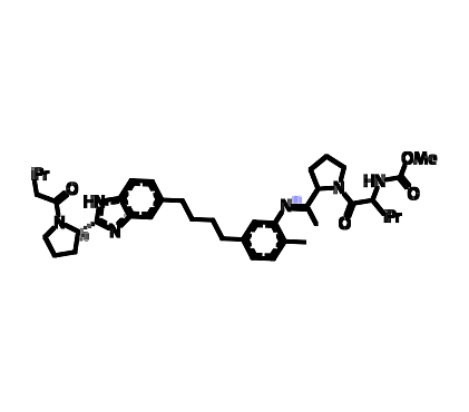 COC(=O)NC(C(=O)N1CCCC1/C(C)=N/c1cc(CCCCc2ccc3[nH]c([C@@H]4CCCN4C(=O)CC(C)C)nc3c2)ccc1C)C(C)C